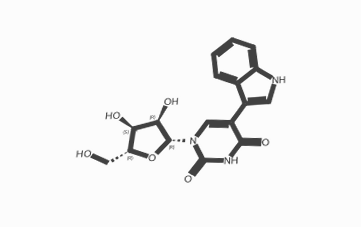 O=c1[nH]c(=O)n([C@@H]2O[C@H](CO)[C@@H](O)[C@H]2O)cc1-c1c[nH]c2ccccc12